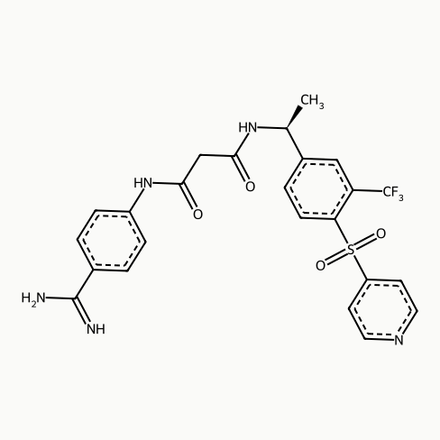 C[C@H](NC(=O)CC(=O)Nc1ccc(C(=N)N)cc1)c1ccc(S(=O)(=O)c2ccncc2)c(C(F)(F)F)c1